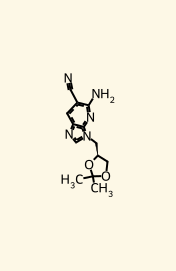 CC1(C)OC[C@H](Cn2cnc3cc(C#N)c(N)nc32)O1